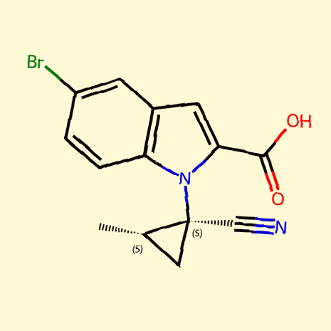 C[C@H]1C[C@]1(C#N)n1c(C(=O)O)cc2cc(Br)ccc21